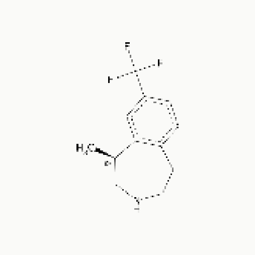 C[C@@H]1CNCCc2ccc(C(F)(F)F)cc21